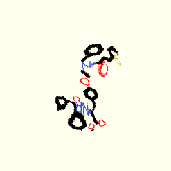 COC(=O)[C@H](Cc1ccc(OCCN(Cc2ccccc2)C(=O)C=Cc2cccs2)cc1)Nc1ccccc1C(=O)c1ccccc1